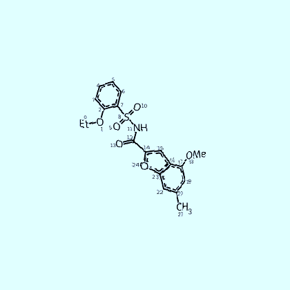 CCOc1ccccc1S(=O)(=O)NC(=O)c1cc2c(OC)cc(C)cc2o1